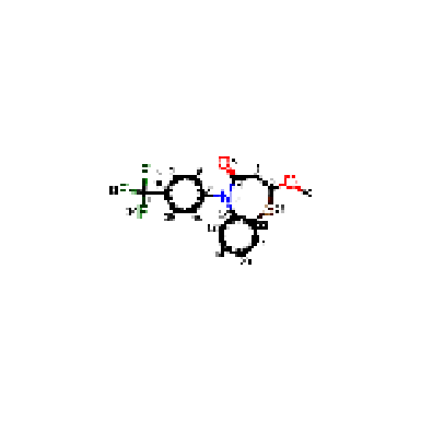 COC1CC(=O)N(c2ccc(C(F)(F)F)cc2)c2ccccc2S1